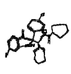 O=C(NC1CCCCC1)[C@@H](C1CCCCC1)C1(c2ccc(Cl)cc2)Nc2ccc(F)cc2N1